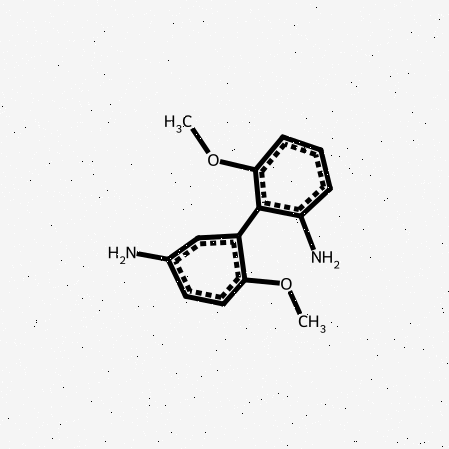 COc1ccc(N)cc1-c1c(N)cccc1OC